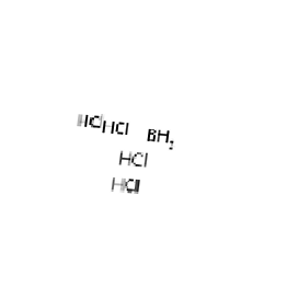 B.Cl.Cl.Cl.Cl